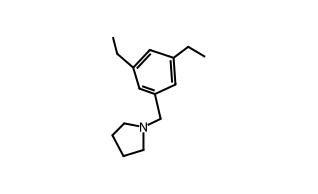 CCc1cc(CC)cc(CN2CCCC2)c1